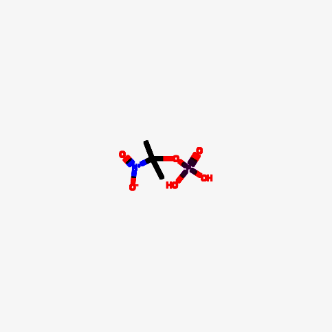 CC(C)(OP(=O)(O)O)[N+](=O)[O-]